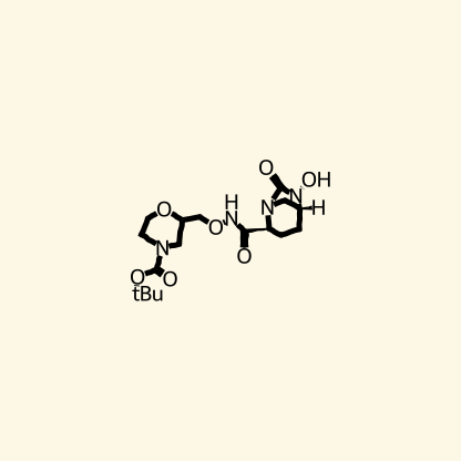 CC(C)(C)OC(=O)N1CCOC(CONC(=O)[C@@H]2CC[C@@H]3CN2C(=O)N3O)C1